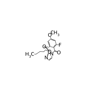 CCCCS(=O)(=O)c1cc(OC)cc(F)c1C(=O)n1ccnc1